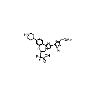 COCc1nc(-c2cn3c(n2)-c2ccc(C4CCNCC4)cc2OCC3)n(C(C)C)n1.O=C(O)C(F)(F)F